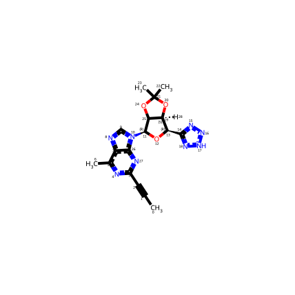 CC#Cc1nc(C)c2ncn([C@@H]3O[C@H](c4nn[nH]n4)[C@@H]4OC(C)(C)OC43)c2n1